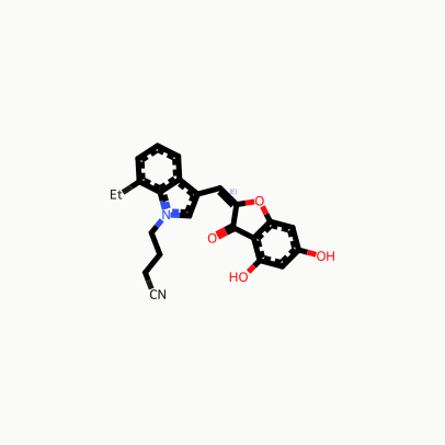 CCc1cccc2c(/C=C3/Oc4cc(O)cc(O)c4C3=O)cn(CCCC#N)c12